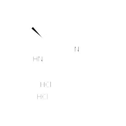 C[C@H]1CN(C)CCN1.Cl.Cl